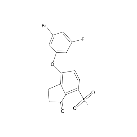 CS(=O)(=O)c1ccc(Oc2cc(F)cc(Br)c2)c2c1C(=O)CC2